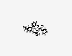 CN(Cc1cccc(-c2cc(C(F)(F)F)ccc2OCC(=O)O)c1)C(=O)Oc1ccccc1